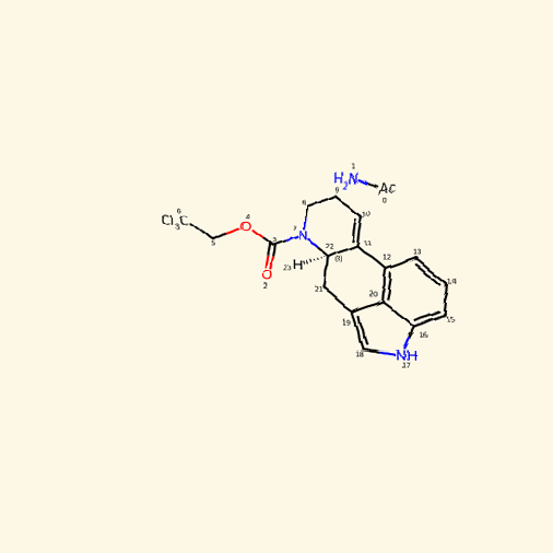 CC(N)=O.O=C(OCC(Cl)(Cl)Cl)N1CCC=C2c3cccc4[nH]cc(c34)C[C@H]21